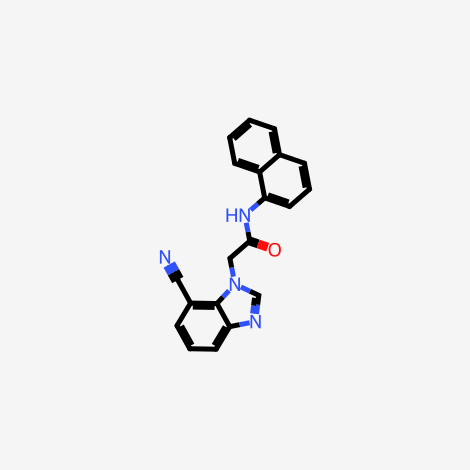 N#Cc1cccc2ncn(CC(=O)Nc3cccc4ccccc34)c12